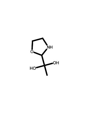 CC(O)(O)C1NCCO1